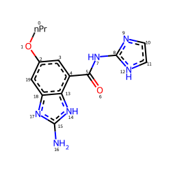 CCCOc1cc(C(=O)Nc2ncc[nH]2)c2[nH]c(N)nc2c1